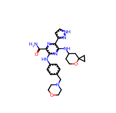 NC(=O)c1nc(-c2cc[nH]n2)c(NC2CCOC3(CC3)C2)nc1Nc1ccc(CN2CCOCC2)cc1